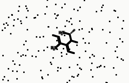 C/C=C(N)/C(=C/C)C(C)[C@@H](C)N